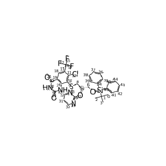 CC(C)(C)[Si](OC[C@@H](CSc1c(Cl)c(C(F)(F)F)cc2c(=O)[nH]c(=O)[nH]c12)Oc1ncccn1)(c1ccccc1)c1ccccc1